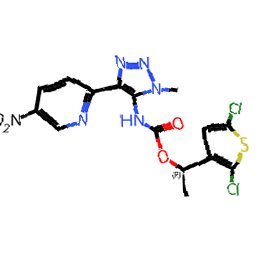 C[C@@H](OC(=O)Nc1c(-c2ccc([N+](=O)[O-])cn2)nnn1C)c1cc(Cl)sc1Cl